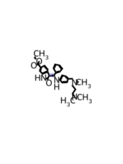 CCOC(=O)c1ccc2c(c1)NC(=O)/C2=C(\Nc1ccc(CN(C)CCCN(C)C)cc1)c1ccccc1